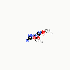 CCOC(=O)CN1CCC(N(CCNc2ccc(C#N)cc2)C(=O)C(C)=O)CC1